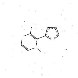 CSC1=C(c2ccco2)N(O)C=CN1